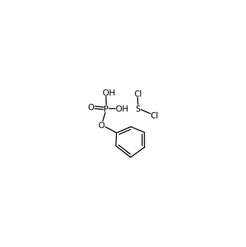 ClSCl.O=P(O)(O)Oc1ccccc1